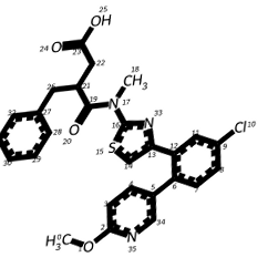 COc1ccc(-c2ccc(Cl)cc2-c2csc(N(C)C(=O)C(CC(=O)O)Cc3ccccc3)n2)cn1